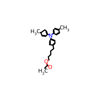 C=CC(=O)OCCCCCc1ccc(N(C2=CCC(C)C=C2)c2ccc(C)cc2)cc1